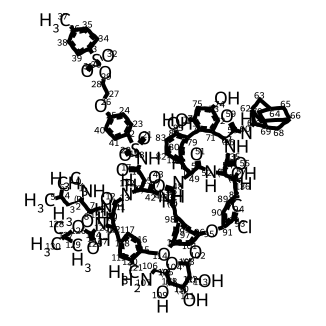 CN[C@H](CC(C)C)C(=O)N[C@H]1C(=O)N[C@@H](CC(=O)NS(=O)(=O)c2ccc(OCCOS(=O)(=O)c3ccc(C)cc3)cc2)C(=O)N[C@H]2C(=O)N[C@H]3C(=O)N[C@H](C(=O)N[C@H](C(=O)NC4C5CC6CC(C5)CC4C6)c4cc(O)cc(O)c4-c4cc3ccc4O)[C@H](O)c3ccc(c(Cl)c3)Oc3cc2cc(c3O[C@@H]2O[C@H](CN)[C@@H](O)[C@H](O)[C@H]2O)Oc2ccc(cc2C)[C@H]1NC(=O)OC(C)(C)C